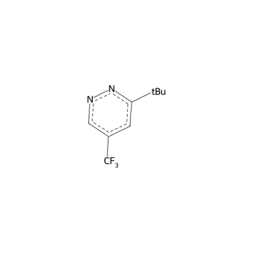 CC(C)(C)c1cc(C(F)(F)F)cnn1